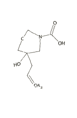 C=CCC1(O)CCCN(C(=O)O)C1